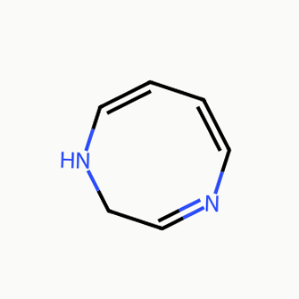 C1=CN=CCNC=C1